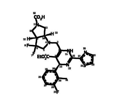 CCOC(=O)C1=C(CN2CC(F)(F)[C@@H]3CN(C(=O)O)C[C@@H]32)NC(c2nccs2)=N[C@H]1c1cccc(F)c1C